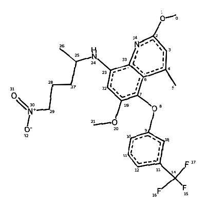 COc1cc(C)c2c(Oc3cccc(C(F)(F)F)c3)c(OC)cc(NC(C)CCC[N+](=O)[O-])c2n1